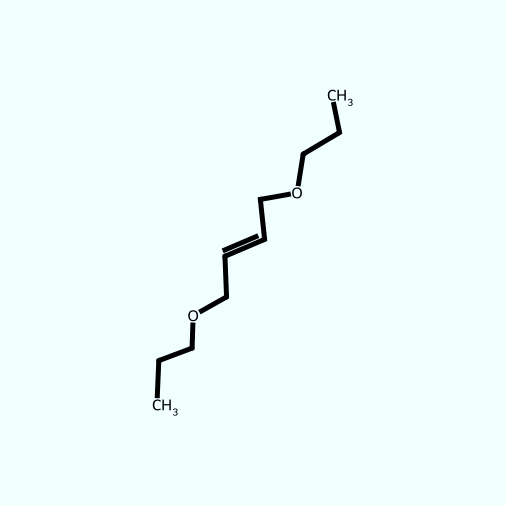 CCCOCC=CCOCCC